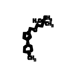 CN1CCN(c2ccn(COCC[Si](C)(C)C)c2)CC1